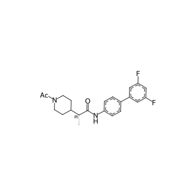 CC(=O)N1CCC([C@@H](C)C(=O)Nc2ccc(-c3cc(F)cc(F)c3)cc2)CC1